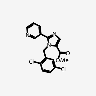 COC(=O)c1cnc(-c2cccnc2)n1Cc1cc(Cl)ccc1Cl